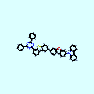 c1ccc(-c2nc(-c3ccccc3)nc(-c3cccc4c3sc3ccc(-c5ccc6c(c5)oc5cc(-n7c8ccccc8c8ccccc87)ccc56)cc34)n2)cc1